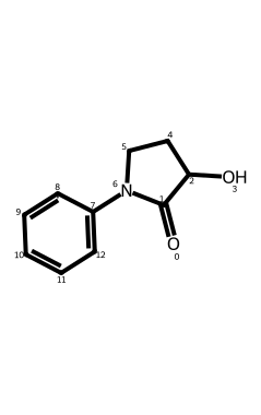 O=C1C(O)CCN1c1[c]cccc1